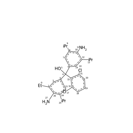 CCc1cc(C(O)(c2cc(C(C)C)c(N)c(C(C)C)c2)c2c(Cl)cccc2Cl)cc(C(C)C)c1N